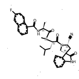 CC(C)C[C@@H](C(=O)N1C[C@]2(C[C@H]1C#N)C(=O)Nc1ccccc12)N(C)C(=O)[C@H](C)NC(=O)c1cccc2cc(F)ccc12